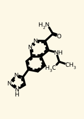 CC(C)Nc1c(C(N)=O)nnc2cc(-c3c[nH]nn3)ccc12